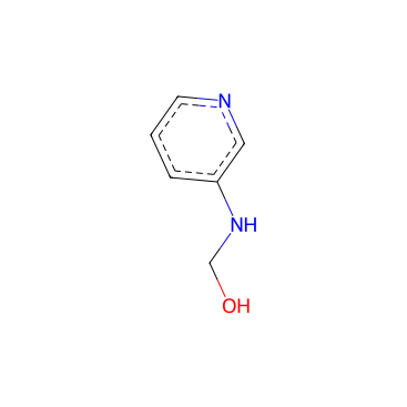 OCNc1cccnc1